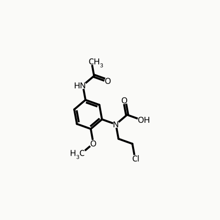 COc1ccc(NC(C)=O)cc1N(CCCl)C(=O)O